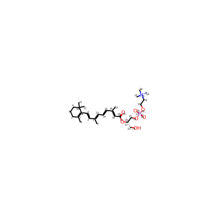 CC(C=CC1=C(C)CCCC1(C)C)=CC=CC(C)=CC(=O)O[C@@H](CO)COP(=O)([O-])OCC[N+](C)(C)C